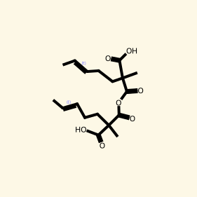 C/C=C/CCC(C)(C(=O)O)C(=O)OC(=O)C(C)(CC/C=C/C)C(=O)O